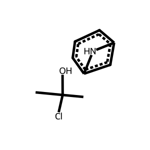 CC(C)(O)Cl.c1cc2cc(c1)N2